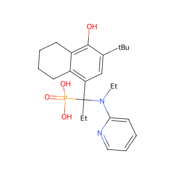 CCN(c1ccccn1)C(CC)(c1cc(C(C)(C)C)c(O)c2c1CCCC2)P(=O)(O)O